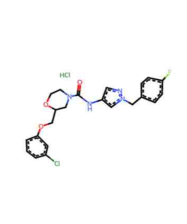 Cl.O=C(Nc1cnn(Cc2ccc(F)cc2)c1)N1CCOC(COc2cccc(Cl)c2)C1